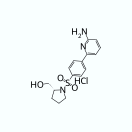 Cl.Nc1cccc(-c2ccc(S(=O)(=O)N3CCC[C@@H]3CO)cc2)n1